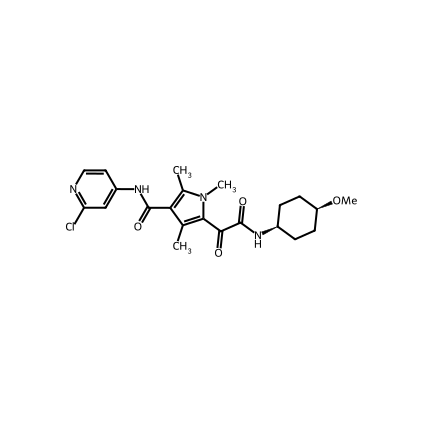 CO[C@H]1CC[C@@H](NC(=O)C(=O)c2c(C)c(C(=O)Nc3ccnc(Cl)c3)c(C)n2C)CC1